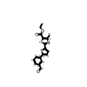 CCOC(=O)c1sc(-c2ccc(-c3cccc(C=O)c3)s2)nc1C